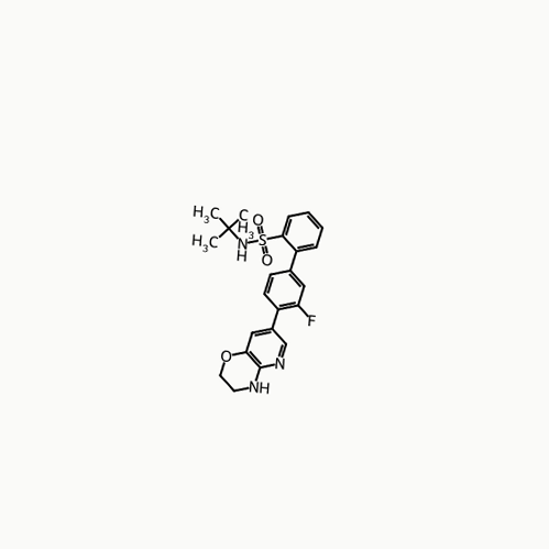 CC(C)(C)NS(=O)(=O)c1ccccc1-c1ccc(-c2cnc3c(c2)OCCN3)c(F)c1